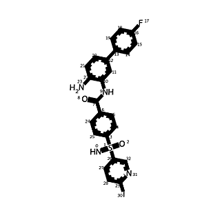 N=S(=O)(c1ccc(C(=O)Nc2cc(-c3ccc(F)cc3)ccc2N)cc1)c1ccc(I)nc1